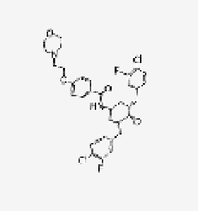 O=C1/C(=C/c2ccc(Cl)c(F)c2)CC(NC(=O)c2ccc(OCCN3CCOCC3)cc2)C/C1=C\c1ccc(Cl)c(F)c1